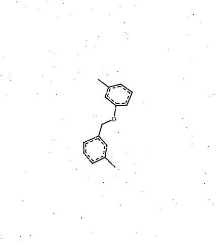 Cc1cccc(COc2cccc(C)c2)c1